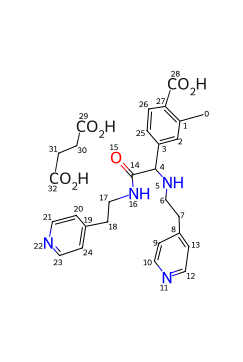 Cc1cc(C(NCCc2ccncc2)C(=O)NCCc2ccncc2)ccc1C(=O)O.O=C(O)CCC(=O)O